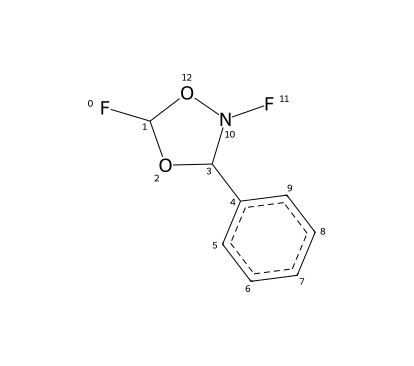 FC1OC(c2ccccc2)N(F)O1